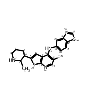 CC1NCCCC1c1cc2c(Nc3ccc4scnc4c3)c(F)cnc2s1